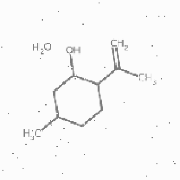 C=C(C)C1CCC(C)CC1O.O